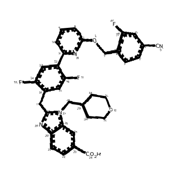 N#Cc1ccc(COc2cccc(-c3cc(F)c(Cc4nc5ccc(C(=O)O)cc5n4CC4CCOCC4)cc3F)n2)c(F)c1